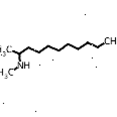 CCCCCCCCCC(C)NC